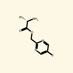 CC(C)[C@H](N)C(=O)OCc1ncc(F)cn1